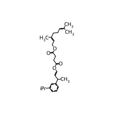 CC(C)=CCC/C(C)=C/COC(=O)CCC(=O)O/C=C/C(C)c1cccc(C(C)C)c1